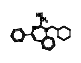 CC1=NC(c2ccccc2)=Cc2ccccc2N1CC1CCCCC1.Cl